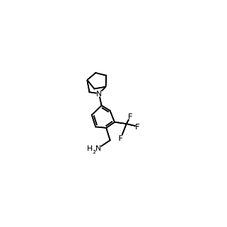 NCc1ccc(N2CC3CCC2C3)cc1C(F)(F)F